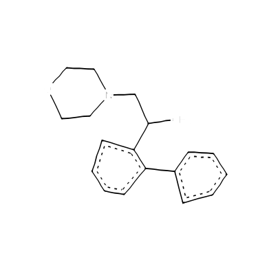 CC(CN1CCOCC1)c1ccccc1-c1ccccc1